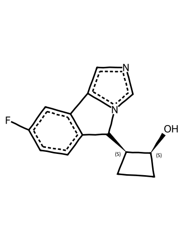 O[C@H]1CC[C@H]1C1c2ccc(F)cc2-c2cncn21